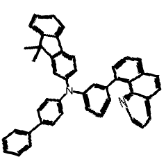 CC1(C)c2ccccc2-c2ccc(N(c3ccc(-c4ccccc4)cc3)c3cccc(-c4cccc5ccc6cccnc6c45)c3)cc21